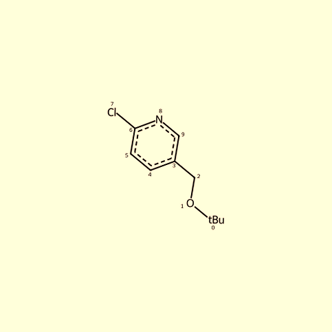 CC(C)(C)OCc1ccc(Cl)nc1